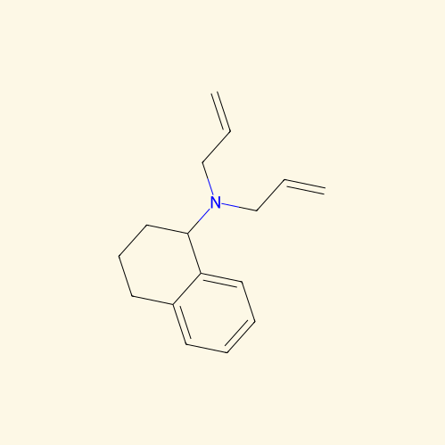 C=CCN(CC=C)C1CCCc2ccccc21